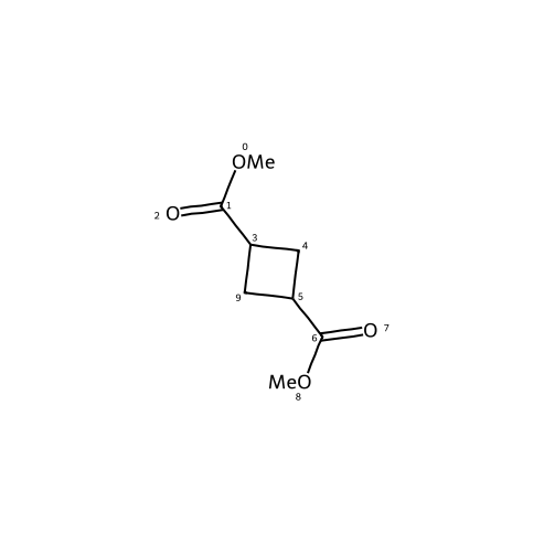 COC(=O)C1CC(C(=O)OC)C1